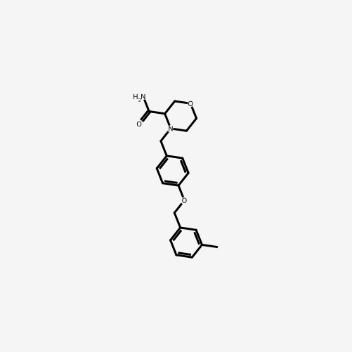 Cc1cccc(COc2ccc(CN3CCOCC3C(N)=O)cc2)c1